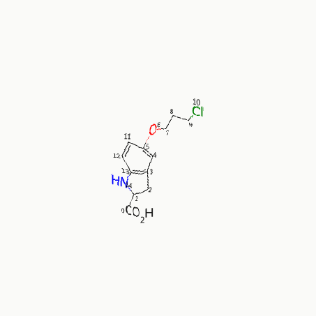 O=C(O)C1Cc2cc(OCCCCl)ccc2N1